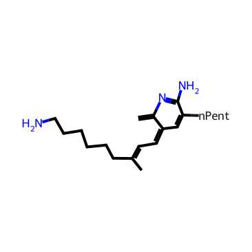 C=c1nc(N)c(CCCCC)c/c1=C/C=C(\C)CCCCCCN